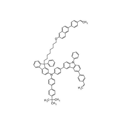 C=Cc1ccc(-c2ccc3cc(OCCCCCCCCC4(c5ccccc5)c5ccccc5-c5ccc(N(c6ccc(-c7ccc(C(C)(C)C)cc7)cc6)c6ccc(-c7ccc8c(c7)c7cc(-c9ccc(C=C)cc9)ccc7n8-c7ccccc7)cc6)cc54)ccc3c2)cc1